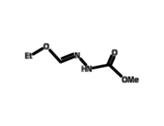 CCOC=NNC(=O)OC